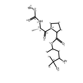 CCCC(CC(C)OC(=O)C1CCCN1C(=O)[C@H](C)NC(=O)OC(C)(C)C)C(C)(C)CC